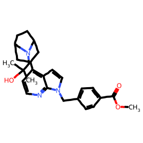 COC(=O)c1ccc(Cn2ccc3c(C4CC5CCC(C4)N5CC(C)(C)O)ccnc32)cc1